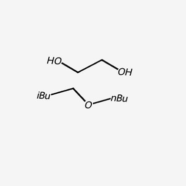 CCCCOCC(C)CC.OCCO